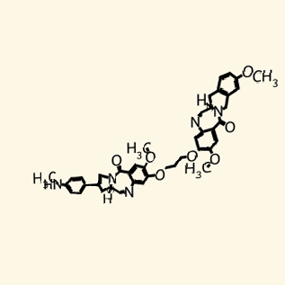 CNc1ccc(C2=CN3C(=O)c4cc(OC)c(OCCCOc5cc6c(cc5OC)C(=O)N5Cc7cc(OC)ccc7C[C@H]5C=N6)cc4N=C[C@@H]3C2)cc1